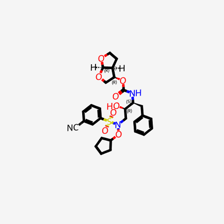 N#Cc1cccc(S(=O)(=O)N(C[C@@H](O)[C@H](Cc2ccccc2)NC(=O)O[C@H]2CO[C@H]3OCC[C@H]32)OC2CCCC2)c1